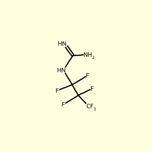 N=C(N)NC(F)(F)C(F)(F)C(F)(F)F